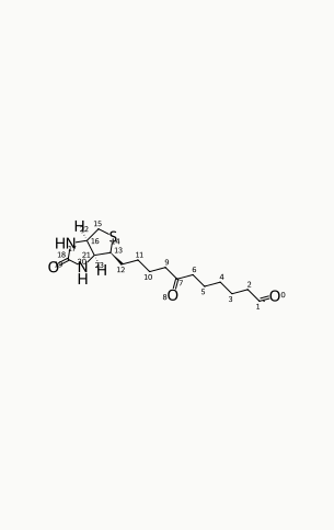 O=[C]CCCCCC(=O)CCCC[C@@H]1SC[C@@H]2NC(=O)N[C@@H]21